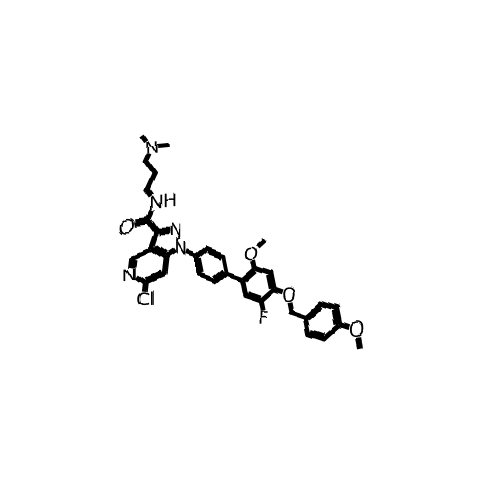 COc1ccc(COc2cc(OC)c(-c3ccc(-n4nc(C(=O)NCCCN(C)C)c5cnc(Cl)cc54)cc3)cc2F)cc1